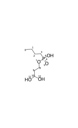 CCCCP(=O)(O)OCCC(O)O